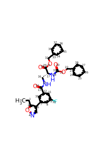 CCc1oncc1-c1cc(F)cc(C(=O)NC[C@@H](NC(=O)OCc2ccccc2)C(=O)OCc2ccccc2)c1